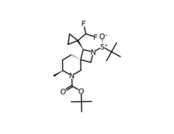 C[C@H]1CC[C@@]2(CN1C(=O)OC(C)(C)C)CN([S@+]([O-])C(C)(C)C)[C@@H]2C1(C(F)F)CC1